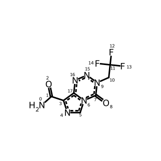 NC(=O)c1ncn2c(=O)n(CC(F)(F)F)nnc12